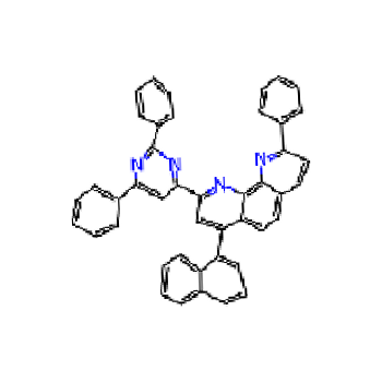 c1ccc(-c2cc(-c3cc(-c4cccc5ccccc45)c4ccc5ccc(-c6ccccc6)nc5c4n3)nc(-c3ccccc3)n2)cc1